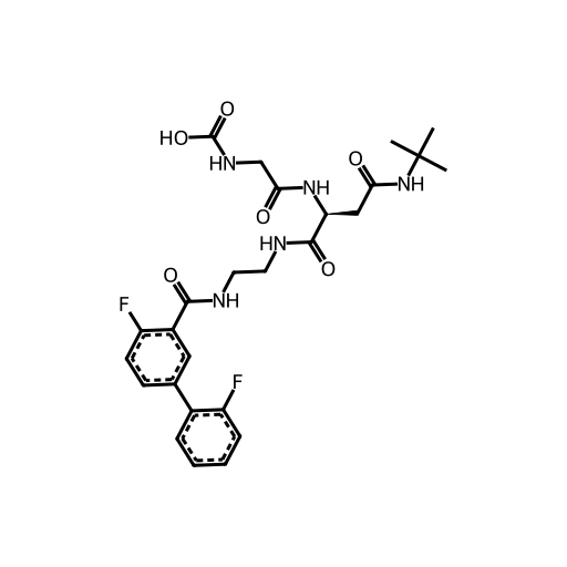 CC(C)(C)NC(=O)C[C@H](NC(=O)CNC(=O)O)C(=O)NCCNC(=O)c1cc(-c2ccccc2F)ccc1F